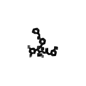 CCc1cccc(CNCC(OC(=O)c2cccc(OCc3ccccc3)c2)C(N)Cc2cc(F)cc(F)c2)c1